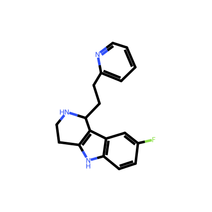 Fc1ccc2[nH]c3c(c2c1)C(CCc1ccccn1)NCC3